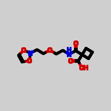 O=C(O)C1(C(=O)NCCOCCN2OC=CO2)CCC1